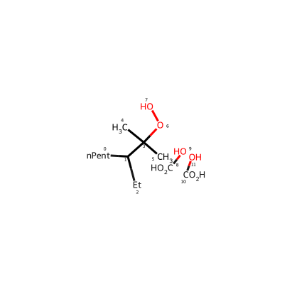 CCCCCC(CC)C(C)(C)OO.O=C(O)O.O=C(O)O